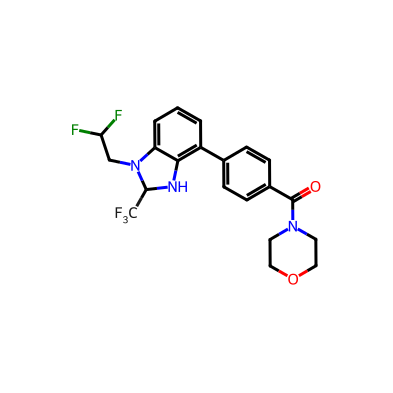 O=C(c1ccc(-c2cccc3c2NC(C(F)(F)F)N3CC(F)F)cc1)N1CCOCC1